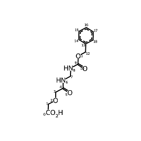 O=C(O)COCC(=O)NCNC(=O)OCc1ccccc1